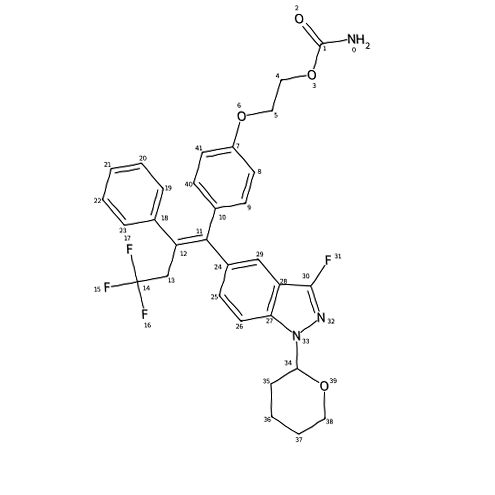 NC(=O)OCCOc1ccc(/C(=C(/CC(F)(F)F)c2ccccc2)c2ccc3c(c2)c(F)nn3C2CCCCO2)cc1